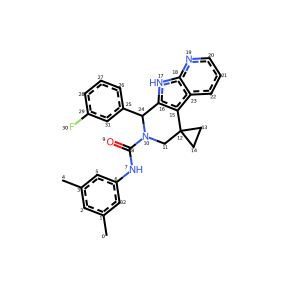 Cc1cc(C)cc(NC(=O)N2CC3(CC3)c3c([nH]c4ncccc34)C2c2cccc(F)c2)c1